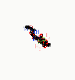 BOc1ccc(C(c2ccc(OB)c(N3C(=O)C4C5C=CC(C5)C4C3=O)c2)(C(F)(F)F)C(F)(F)F)cc1NC(=O)c1ccc(Oc2ccc(C(=O)Nc3cccc(NC(=O)c4ccc(C)cc4)c3)cc2)cc1